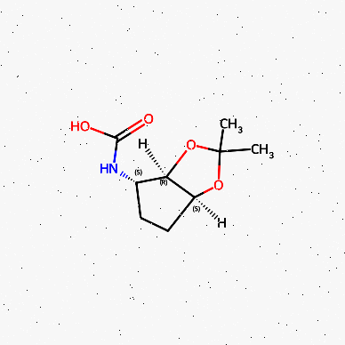 CC1(C)O[C@@H]2[C@@H](NC(=O)O)CC[C@@H]2O1